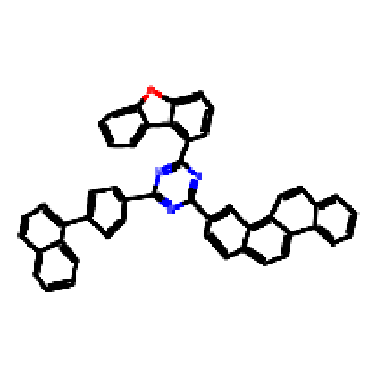 c1ccc2c(-c3ccc(-c4nc(-c5ccc6ccc7c8ccccc8ccc7c6c5)nc(-c5cccc6oc7ccccc7c56)n4)cc3)cccc2c1